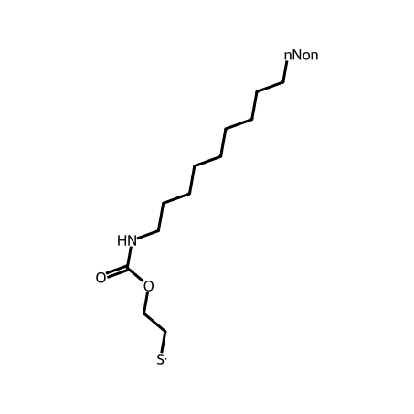 CCCCCCCCCCCCCCCCCCNC(=O)OCC[S]